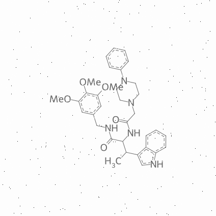 COc1cc(CNC(=O)C(NC(=O)CN2CCN(c3ccccc3)CC2)C(C)c2c[nH]c3ccccc23)cc(OC)c1OC